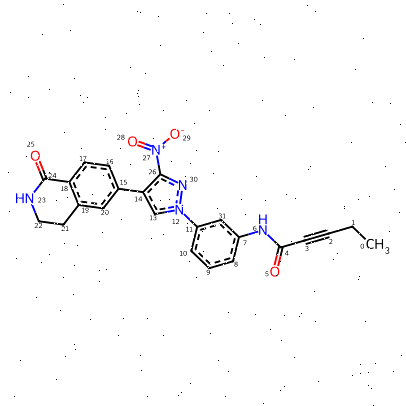 CCC#CC(=O)Nc1cccc(-n2cc(-c3ccc4c(c3)CCNC4=O)c([N+](=O)[O-])n2)c1